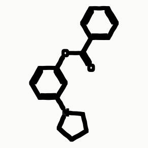 O=C(Oc1cccc(N2CCCC2)c1)c1ccccc1